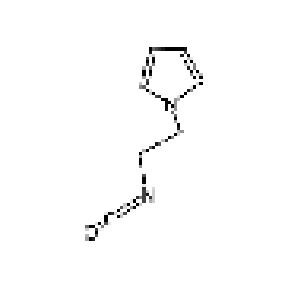 O=C=NCCn1cccc1